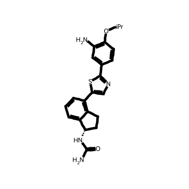 CC(C)Oc1ccc(-c2ncc(-c3cccc4c3CC[C@@H]4NC(N)=O)s2)cc1N